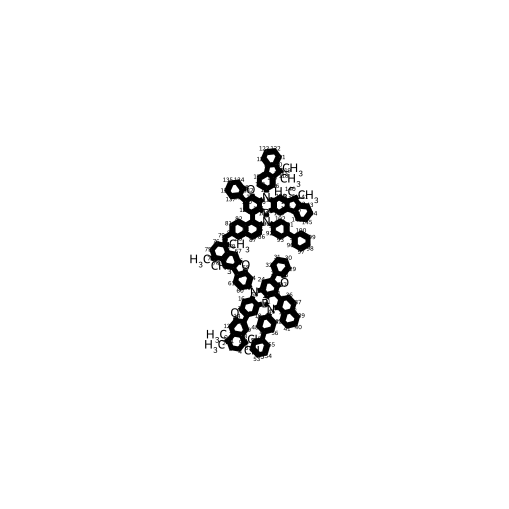 CC1(C)CCC(C)(C)c2cc3c(cc21)oc1cc2c(cc13)B1c3c(cc4c(oc5ccccc54)c3-c3ccc4ccccc4c3N1c1ccc(-c3ccccc3)cc1)N2c1ccc2c(c1)oc1cc3c(cc12)C(C)(C)CCC3(C)Cc1ccc2c3c(ccc2c1)N(c1ccc(-c2ccccc2)cc1)B1c2cc4c(cc2N(c2ccc5c(c2)C(C)(C)c2ccccc2-5)c2c1c-3cc1c2oc2ccccc21)C(C)(C)c1ccccc1-4